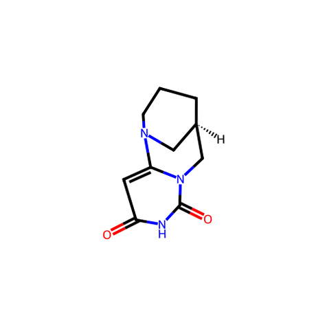 O=c1cc2n(c(=O)[nH]1)C[C@@H]1CCCN2C1